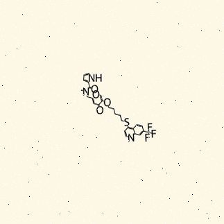 CN(Cc1cc(=O)c(OCCCCCSc2ccnc3cc(C(F)(F)F)ccc23)co1)C(=O)c1ccc[nH]1